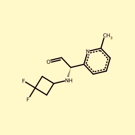 Cc1cccc([C@@H](C=O)NC2CC(F)(F)C2)n1